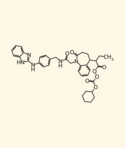 CCC(C(=O)OOC(=O)OC1CCCCC1)C1CCC(=O)N(CC(=O)NCc2ccc(Nc3nc4ccccc4[nH]3)cc2)c2ccccc21